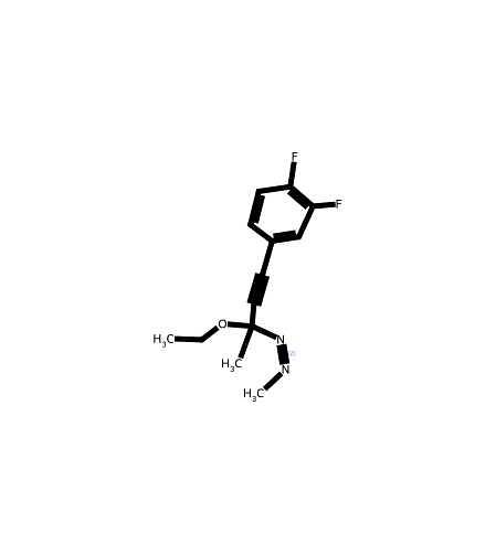 CCOC(C)(C#Cc1ccc(F)c(F)c1)/N=N\C